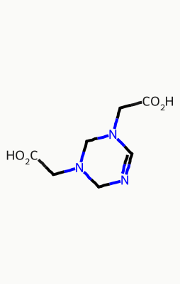 O=C(O)CN1C=NCN(CC(=O)O)C1